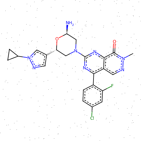 Cn1ncc2c(-c3ccc(Cl)cc3F)nc(N3C[C@H](N)O[C@@H](c4cnn(C5CC5)c4)C3)nc2c1=O